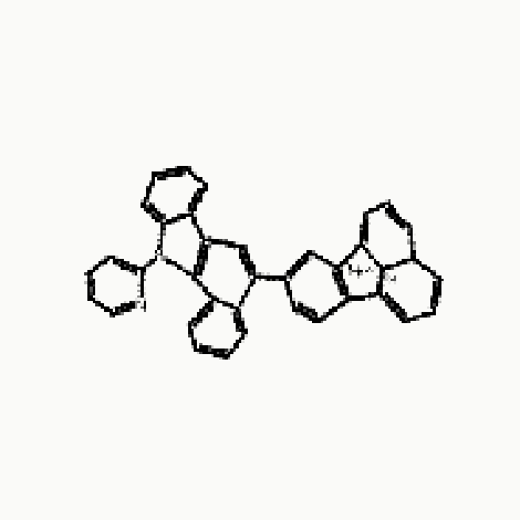 C1=CC2C=CC=C3c4cc(-c5cc6c7ccccc7n(-c7ccccn7)c6c6ccccc56)ccc4C(=C1)[C@@H]32